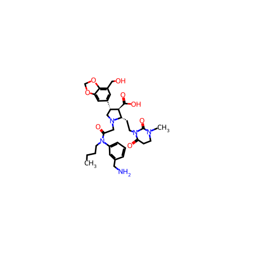 CCCCN(C(=O)CN1C[C@H](c2cc(CO)c3c(c2)OCO3)[C@@H](C(=O)O)[C@@H]1CCN1C(=O)CCN(C)C1=O)c1cccc(CN)c1